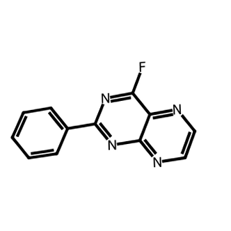 Fc1nc(-c2ccccc2)nc2nccnc12